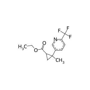 CCOC(=O)C1CC1(C)c1ccc(C(F)(F)F)nc1